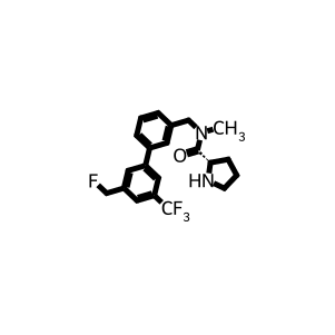 CN(Cc1cccc(-c2cc(CF)cc(C(F)(F)F)c2)c1)C(=O)[C@@H]1CCCN1